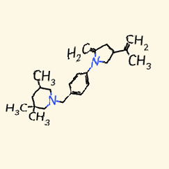 C=C(C)C1CC(=C)N(c2ccc(CN3CC(C)CC(C)(C)C3)cc2)C1